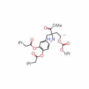 CCCOC(=O)O[C@@H](C)CC(N)(Cc1ccc(OC(=O)CC(C)C)c(OC(=O)CC(C)C)c1)C(=O)OC